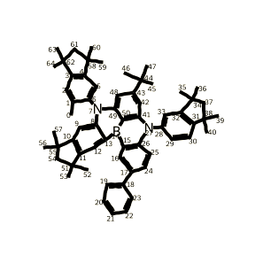 Cc1cc2c(cc1N1c3cc4c(cc3B3c5cc(-c6ccccc6)ccc5N(c5ccc6c(c5)C(C)(C)CC6(C)C)c5cc(C(C)(C)C)cc1c53)C(C)(C)CC4(C)C)C(C)(C)CC2(C)C